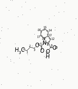 CCCCOC(=O)n1c(C(=O)O)cc2ccccc21